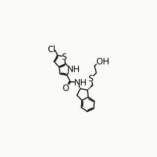 O=C(N[C@@H]1Cc2ccccc2[C@@H]1CSCCO)c1cc2cc(Cl)sc2[nH]1